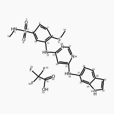 CNS(=O)(=O)c1ccc(SC)c(Nc2cc(Nc3ccc4cc[nH]c4c3)ncn2)c1.O=C(O)C(F)(F)F